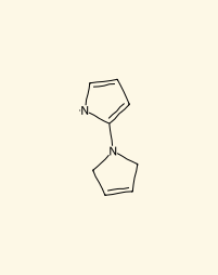 C1=C[N]C(N2CC=CC2)=C1